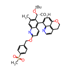 Cc1cc2nc(OCc3ccc(S(C)(=O)=O)cc3)ccc2c(-c2ccc3c4c(ccnc24)CCO3)c1[C@H](OC(C)(C)C)C(=O)O